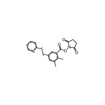 Cc1cc(SSc2ccccn2)cc(C(=O)ON2C(=O)CCC2=O)c1C